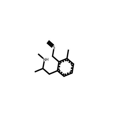 C#SCc1c(C)cccc1CC(C)NC